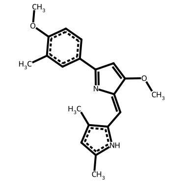 COC1=CC(c2ccc(OC)c(C)c2)=NC1=Cc1[nH]c(C)cc1C